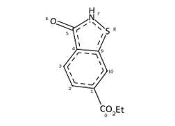 CCOC(=O)c1ccc2c(=O)[nH]sc2c1